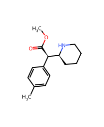 COC(=O)[C@H](c1ccc(C)cc1)[C@@H]1CCCCN1